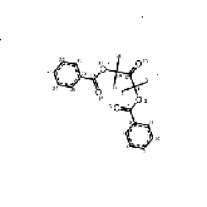 CC(C)(OC(=O)c1ccccc1)C(=O)C(C)(C)OC(=O)c1ccccc1